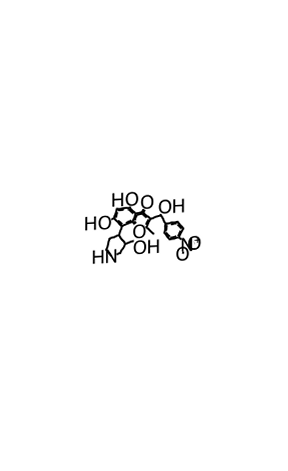 Cc1oc2c(C3CCNCC3CO)c(O)cc(O)c2c(=O)c1C(O)c1ccc([N+](=O)[O-])cc1